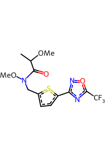 COC(C)C(=O)N(Cc1ccc(-c2noc(C(F)(F)F)n2)s1)OC